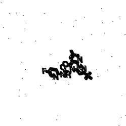 Cc1cnc2c(c1)c(=O)n(CC(=O)Nc1ccc(F)cn1)c1cc(C(C)(C)C)nn21